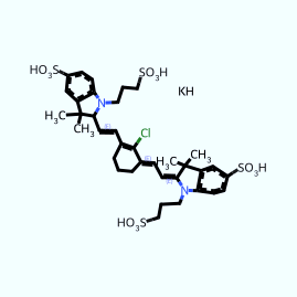 CC1(C)/C(=C\C=C2/CCCC(/C=C/C3N(CCCS(=O)(=O)O)c4ccc(S(=O)(=O)O)cc4C3(C)C)=C2Cl)N(CCCS(=O)(=O)O)c2ccc(S(=O)(=O)O)cc21.[KH]